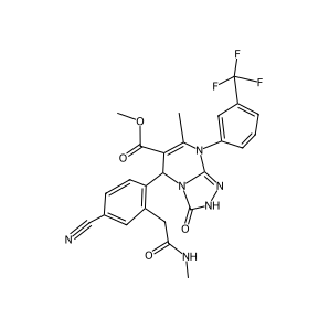 CNC(=O)Cc1cc(C#N)ccc1C1C(C(=O)OC)=C(C)N(c2cccc(C(F)(F)F)c2)c2n[nH]c(=O)n21